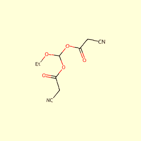 CCOC(OC(=O)CC#N)OC(=O)CC#N